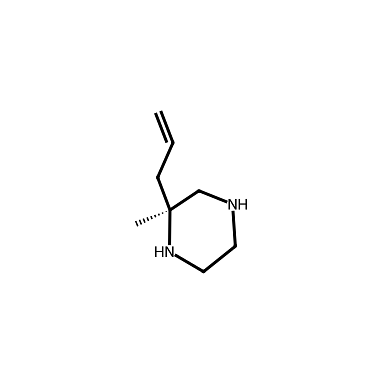 C=CC[C@@]1(C)CNCCN1